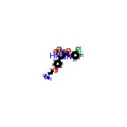 CN(C)CCCOc1ccc(C2CC(C(=O)Nc3ccc(F)c(Cl)c3)N(C)S(=O)(=O)N2)cc1